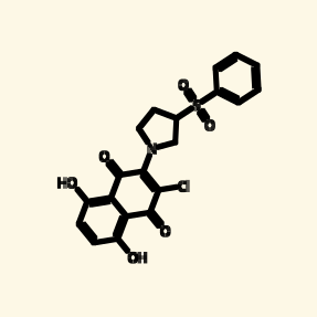 O=C1C(Cl)=C(N2CCC(S(=O)(=O)c3ccccc3)C2)C(=O)c2c(O)ccc(O)c21